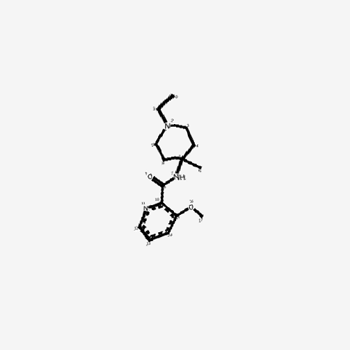 CCN1CCC(C)(NC(=O)c2ncccc2OC)CC1